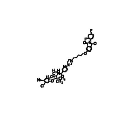 CC1(C)C(NC(=O)c2ccc(N3CCN(CCCCCOc4ccc5c(c4)C(=O)N(c4ccc(F)cc4F)C5=O)CC3)nc2)C(C)(C)C1Oc1ccc(C#N)c(Cl)c1